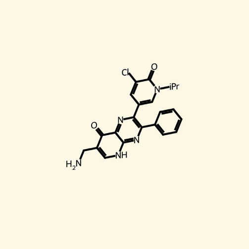 CC(C)n1cc(-c2nc3c(=O)c(CN)c[nH]c3nc2-c2ccccc2)cc(Cl)c1=O